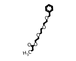 CCC(=O)OCCOCCOCCOCc1ccccc1